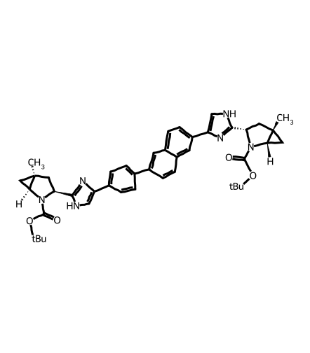 CC(C)(C)OC(=O)N1[C@H]2C[C@@]2(C)C[C@H]1c1nc(-c2ccc(-c3ccc4cc(-c5c[nH]c([C@@H]6C[C@]7(C)C[C@@H]7N6C(=O)OC(C)(C)C)n5)ccc4c3)cc2)c[nH]1